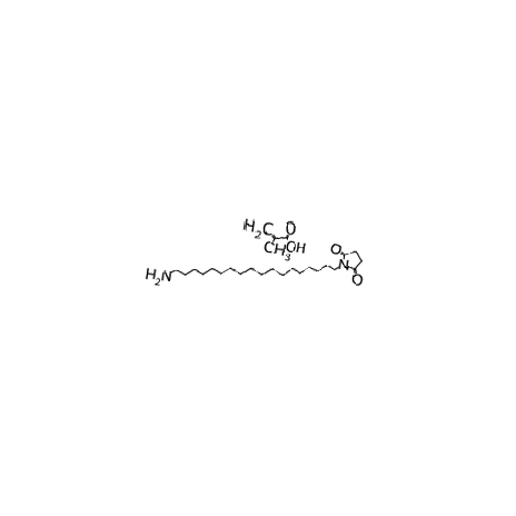 C=C(C)C(=O)O.NCCCCCCCCCCCCCCCCCCN1C(=O)CCC1=O